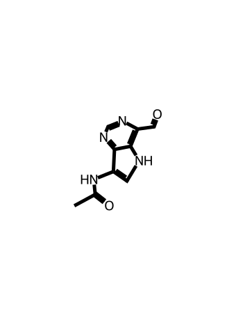 CC(=O)Nc1c[nH]c2c(C=O)ncnc12